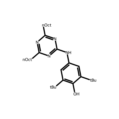 CCCCCCCCc1nc(CCCCCCCC)nc(Nc2cc(C(C)(C)C)c(O)c(C(C)(C)C)c2)n1